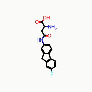 NC(CC(=O)Nc1ccc2c(c1)Cc1cc(F)ccc1-2)C(=O)O